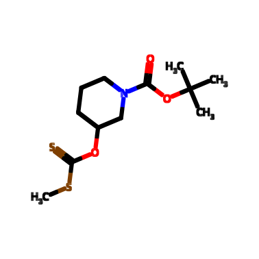 CSC(=S)OC1CCCN(C(=O)OC(C)(C)C)C1